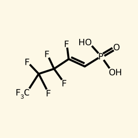 O=P(O)(O)/C=C(\F)C(F)(F)C(F)(F)C(F)(F)F